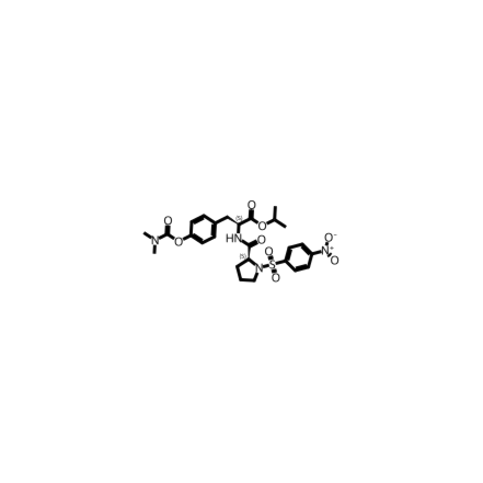 CC(C)OC(=O)[C@H](Cc1ccc(OC(=O)N(C)C)cc1)NC(=O)[C@@H]1CCCN1S(=O)(=O)c1ccc([N+](=O)[O-])cc1